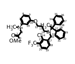 COC(=O)CN(C)c1cccc(OCCCN(Cc2cccc(C(F)(F)F)c2Cl)C(C)(c2ccccc2)c2ccccc2)c1